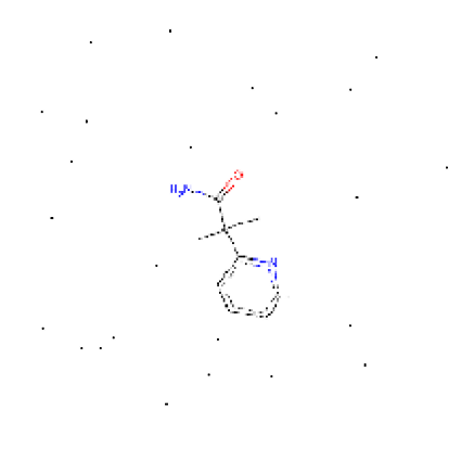 Cc1cccc(C(C)(C)C(N)=O)n1